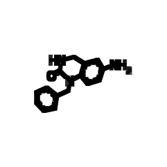 Nc1ccc2c(c1)CNC(=O)N2Cc1ccccc1